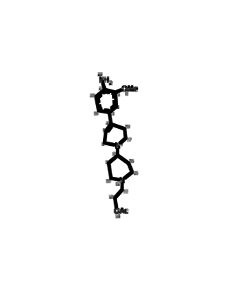 COc1cc(C2=CCN(C3CCN(CCOC(C)=O)CC3)CC2)ccc1N